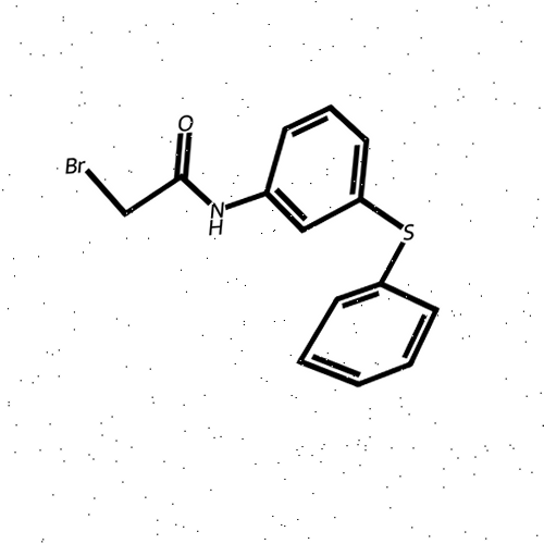 O=C(CBr)Nc1cccc(Sc2ccccc2)c1